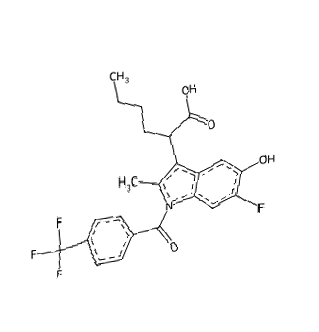 CCCCC(C(=O)O)c1c(C)n(C(=O)c2ccc(C(F)(F)F)cc2)c2cc(F)c(O)cc12